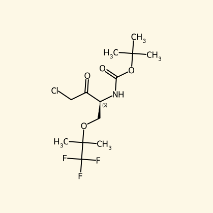 CC(C)(C)OC(=O)N[C@@H](COC(C)(C)C(F)(F)F)C(=O)CCl